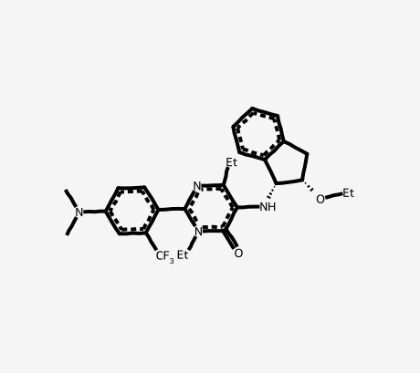 CCO[C@H]1Cc2ccccc2[C@H]1Nc1c(CC)nc(-c2ccc(N(C)C)cc2C(F)(F)F)n(CC)c1=O